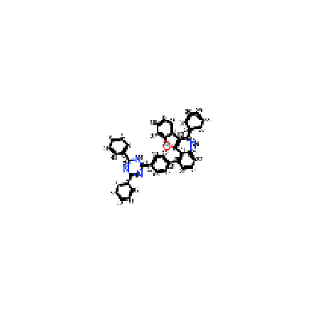 c1ccc(-c2nc(-c3ccccc3)nc(-c3ccc(-c4cccc5nc(-c6ccccc6)c6c7ccccc7oc6c45)cc3)n2)cc1